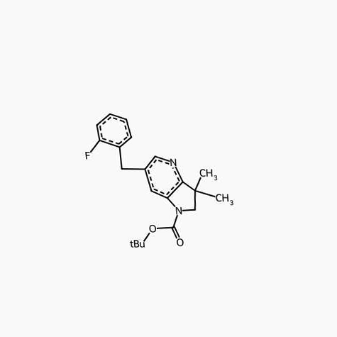 CC(C)(C)OC(=O)N1CC(C)(C)c2ncc(Cc3ccccc3F)cc21